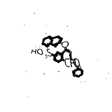 Cc1ccc(S(=O)(=O)O)cc1C(CCOc1ccccc1)Oc1ccc2ccccc2c1